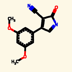 COc1cc(OC)cc(C2=C(C#N)C(=O)N=C2)c1